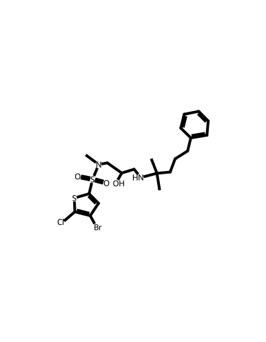 CN(CC(O)CNC(C)(C)CCCc1ccccc1)S(=O)(=O)c1cc(Br)c(Cl)s1